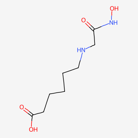 O=C(O)CCCCCNCC(=O)NO